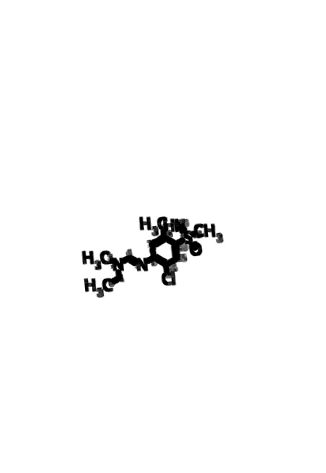 CCN(C)C=Nc1cc(C)c(S(C)(=N)=O)cc1Cl